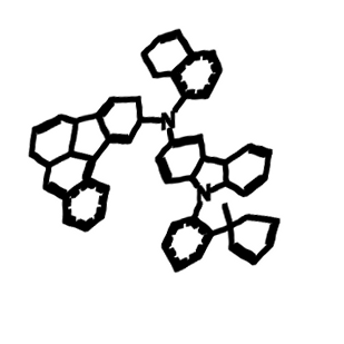 CC1(c2ccccc2N2C3C=CC=CC3C3C=C(N(c4cccc5c4CCC=C5)C4C=C5C(=CC4)C4C=CCC6C=c7ccccc7=C5C64)C=CC32)C=CC=CC1